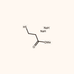 COC(=O)CCS.[NaH].[NaH]